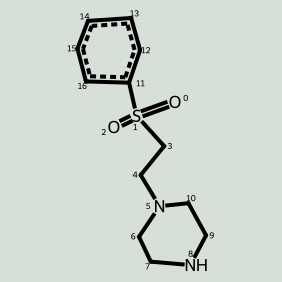 O=S(=O)(CCN1CCNCC1)c1ccccc1